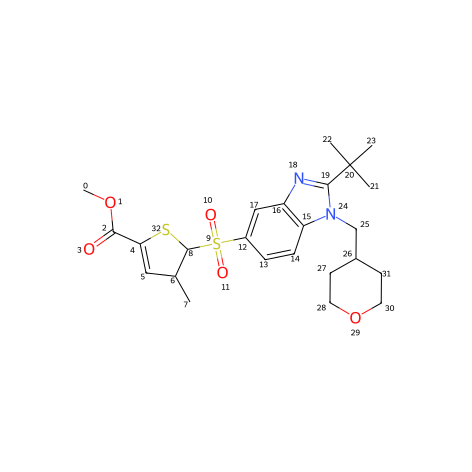 COC(=O)C1=CC(C)C(S(=O)(=O)c2ccc3c(c2)nc(C(C)(C)C)n3CC2CCOCC2)S1